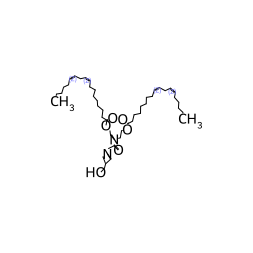 CCCCC/C=C\C/C=C\CCCCCCCC(=O)OCCN(CCOC(=O)CCCCCCC/C=C\C/C=C\CCCCC)C(=O)CN1CC(CO)C1